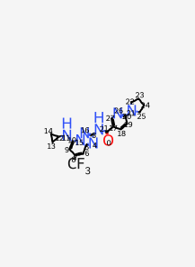 O=C(Nc1nc2cc(C(F)(F)F)cc(NC3CC3)n2n1)c1ccc(N2CCCC2)nc1